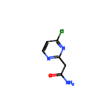 NC(=O)Cc1nccc(Cl)n1